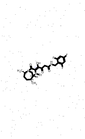 CCN1/C(=C(/O)C(=O)CC(=O)NCc2c(F)cc(F)cc2F)C(=O)N2C[C@H]1[C@H](C)CC[C@H]2C